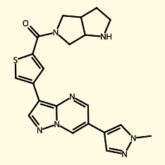 Cn1cc(-c2cnc3c(-c4csc(C(=O)N5CC6CCNC6C5)c4)cnn3c2)cn1